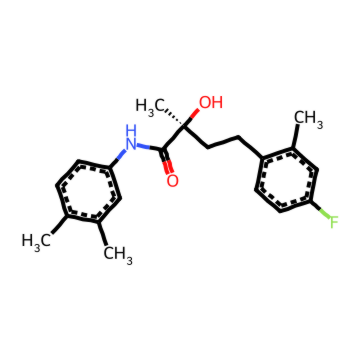 Cc1ccc(NC(=O)[C@@](C)(O)CCc2ccc(F)cc2C)cc1C